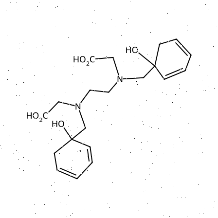 O=C(O)CN(CCN(CC(=O)O)CC1(O)C=CC=CC1)CC1(O)C=CC=CC1